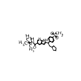 CC(C)(C)NC(=O)c1cnc2[nH]c(C(CC3CCCC3)c3ccc(S(C)(=O)=O)cc3)cc2c1